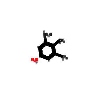 Cc1cccc(S(=O)(=O)O)c1C.O